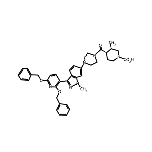 C[C@H]1CN(C(=O)O)CC[C@H]1C(=O)N1CCN(c2ccc3c(-c4ccc(OCc5ccccc5)nc4OCc4ccccc4)nn(C)c3c2)CC1